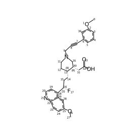 COc1cccc(C#CCN2CC[C@@H](CC[C@H](F)c3ccnc4ccc(OC)cc34)[C@@H](CC(=O)O)C2)c1